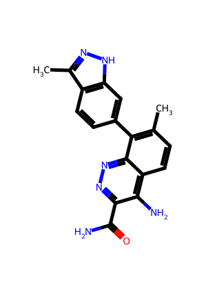 Cc1ccc2c(N)c(C(N)=O)nnc2c1-c1ccc2c(C)n[nH]c2c1